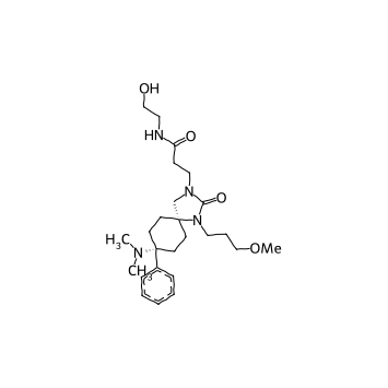 COCCCN1C(=O)N(CCC(=O)NCCO)C[C@]12CC[C@@](c1ccccc1)(N(C)C)CC2